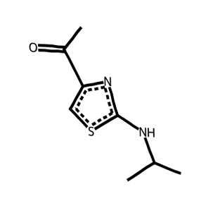 CC(=O)c1csc(NC(C)C)n1